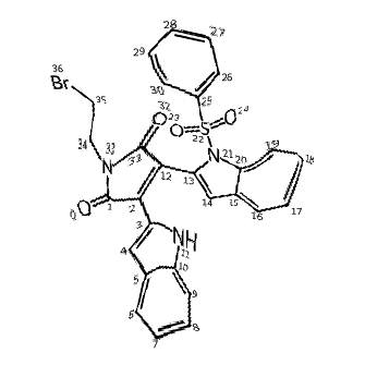 O=C1C(c2cc3ccccc3[nH]2)=C(c2cc3ccccc3n2S(=O)(=O)c2ccccc2)C(=O)N1CCBr